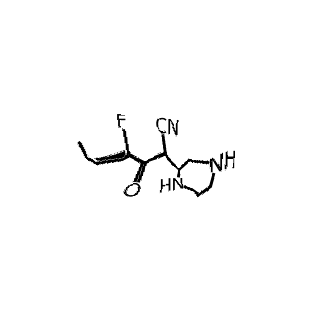 CC=C(F)C(=O)C(C#N)C1CNCCN1